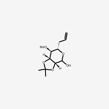 C=CC[C@@H]1OC(O)[C@@H]2OC(C)(C)O[C@@H]2[C@H]1OC